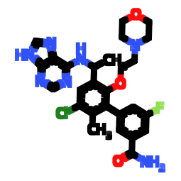 Cc1c(Cl)cc(C(C)Nc2ncnc3[nH]cnc23)c(OCCN2CCOCC2)c1-c1cc(F)cc(C(N)=O)c1